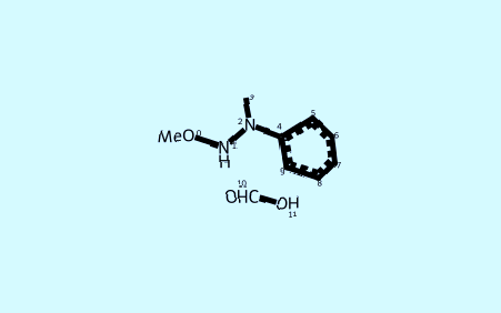 CONN(C)c1ccccc1.O=CO